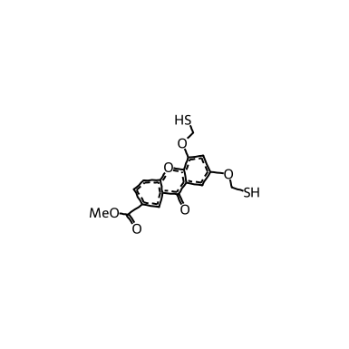 COC(=O)c1ccc2oc3c(OCS)cc(OCS)cc3c(=O)c2c1